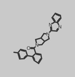 Cc1ccc(-c2ccccc2C(=O)N2CC3CN(c4cnc5ccccc5n4)CC3C2)cc1